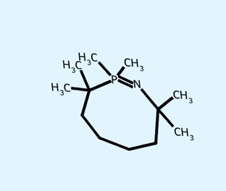 CC1(C)CCCCC(C)(C)P(C)(C)=N1